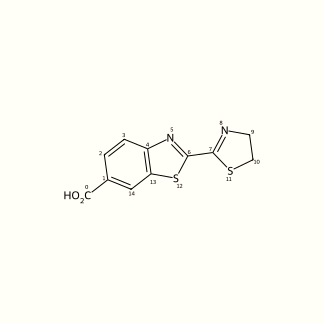 O=C(O)c1ccc2nc(C3=NCCS3)sc2c1